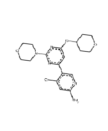 Nc1cc(Cl)c(-c2cc(OC3CCOCC3)nc(N3CCOCC3)n2)cn1